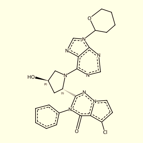 O=c1c2c(Cl)ccn2nc([C@@H]2C[C@@H](O)CN2c2ncnc3c2ncn3C2CCCCO2)n1-c1ccccc1